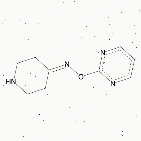 c1cnc(ON=C2CCNCC2)nc1